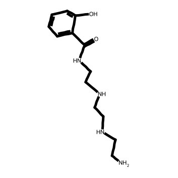 NCCNCCNCCNC(=O)c1ccccc1O